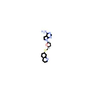 Nc1ncnc2c1ccn2[C@H]1CC[C@@H](CSc2ccc3cccnc3c2)O1